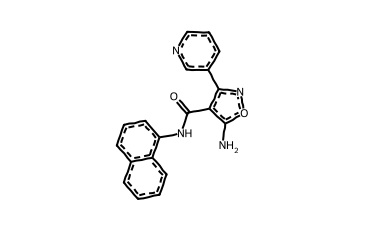 Nc1onc(-c2cccnc2)c1C(=O)Nc1cccc2ccccc12